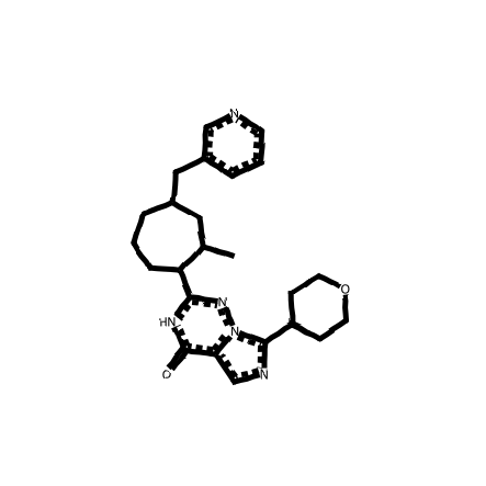 CC1CC(Cc2cccnc2)CCCC1c1nn2c(C3CCOCC3)ncc2c(=O)[nH]1